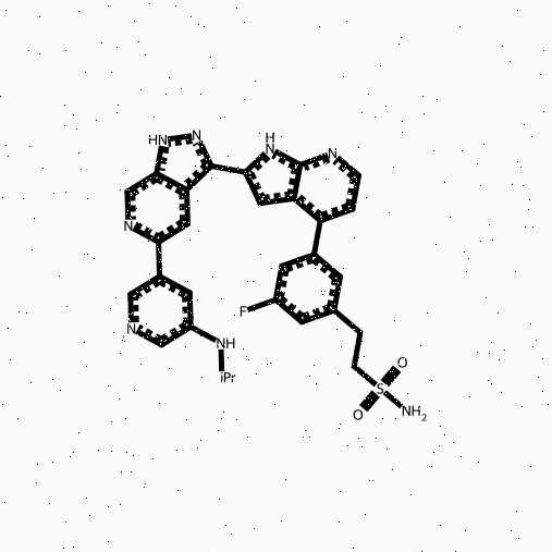 CC(C)Nc1cncc(-c2cc3c(-c4cc5c(-c6cc(F)cc(CCS(N)(=O)=O)c6)ccnc5[nH]4)n[nH]c3cn2)c1